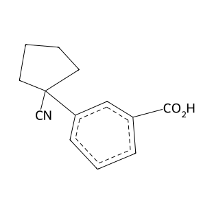 N#CC1(c2cccc(C(=O)O)c2)CCCC1